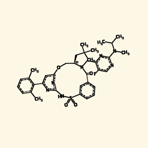 Cc1cccc(C)c1-c1cc2nc(n1)NS(=O)(=O)c1cccc(c1)C(=O)N(Cc1nc(N(C)C(C)C)ncc1F)[C@H](CC(C)(C)C)CO2